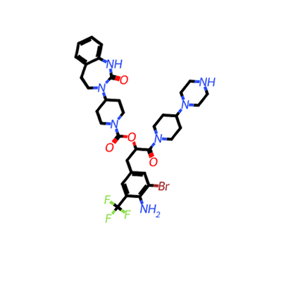 Nc1c(Br)cc(CC(OC(=O)N2CCC(N3CCc4ccccc4NC3=O)CC2)C(=O)N2CCC(N3CCNCC3)CC2)cc1C(F)(F)F